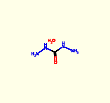 NNC(=O)NN.O